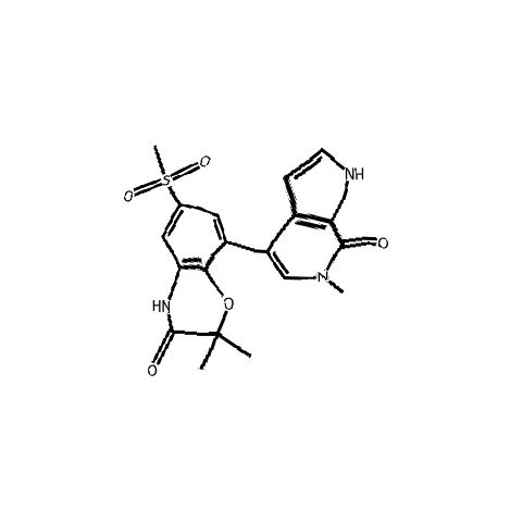 Cn1cc(-c2cc(S(C)(=O)=O)cc3c2OC(C)(C)C(=O)N3)c2cc[nH]c2c1=O